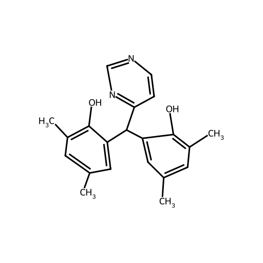 Cc1cc(C)c(O)c(C(c2ccncn2)c2cc(C)cc(C)c2O)c1